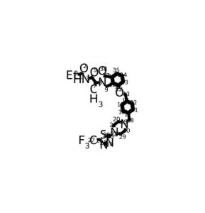 CCC(=O)NC(=O)C(C)N1Cc2c(OCc3ccc(CN4CCN(c5nnc(C(F)(F)F)s5)CC4)cc3)cccc2C1=O